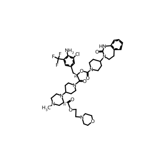 CN1CCN(C2CCN(C(=O)[C@@H](Cc3cc(Cl)c(N)c(C(F)(F)F)c3)OC(=O)N3CCC(N4CCc5ccccc5NC4=O)CC3)CC2)[C@H](C(=O)OCCN2CCOCC2)C1